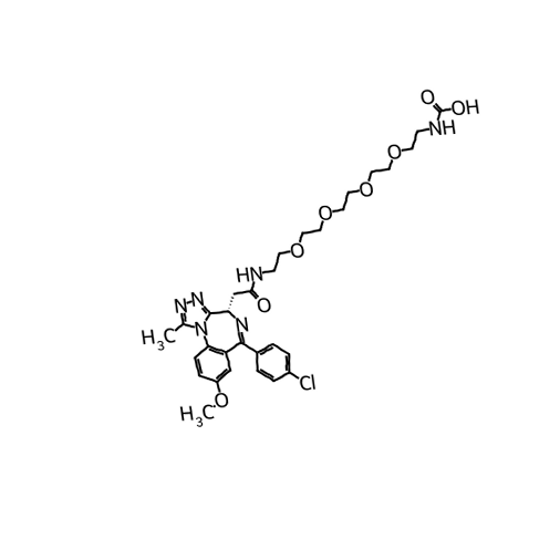 COc1ccc2c(c1)C(c1ccc(Cl)cc1)=N[C@@H](CC(=O)NCCOCCOCCOCCOCCNC(=O)O)c1nnc(C)n1-2